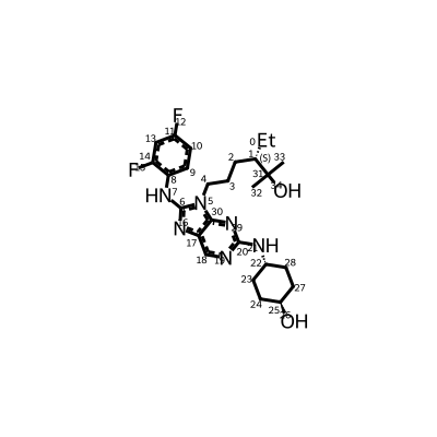 CC[C@@H](CCCn1c(Nc2ccc(F)cc2F)nc2cnc(N[C@H]3CC[C@H](O)CC3)nc21)C(C)(C)O